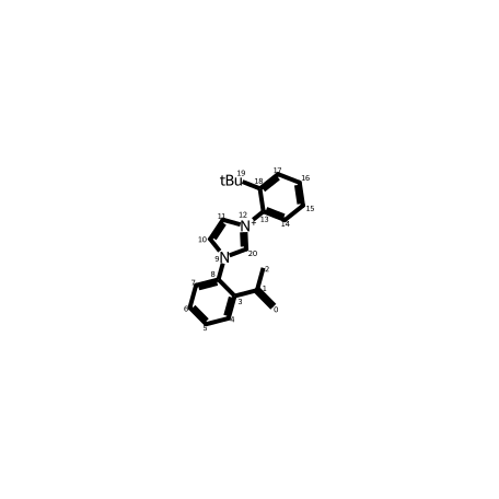 C=C(C)c1ccccc1-n1cc[n+](-c2ccccc2C(C)(C)C)c1